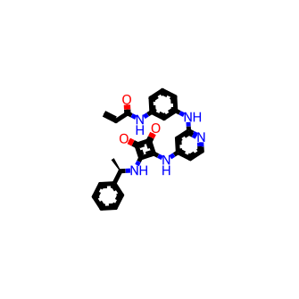 C=CC(=O)Nc1cccc(Nc2cc(Nc3c(N[C@H](C)c4ccccc4)c(=O)c3=O)ccn2)c1